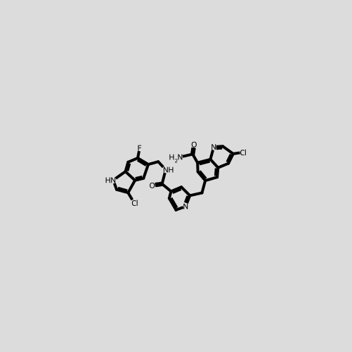 NC(=O)c1cc(Cc2cc(C(=O)NCc3cc4c(Cl)c[nH]c4cc3F)ccn2)cc2cc(Cl)cnc12